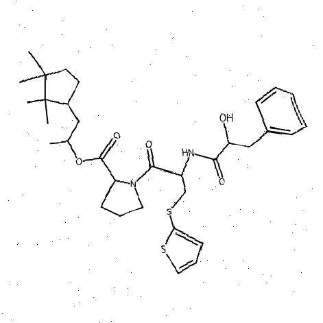 CC(CC1CCC(C)(C)C1(C)C)OC(=O)C1CCCN1C(=O)C(CSc1cccs1)NC(=O)C(O)Cc1ccccc1